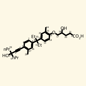 CCCC(O)(C#Cc1ccc(C(CC)(CC)c2ccc(OCC(O)CCC(=O)O)c(C)c2)cc1C)CCC